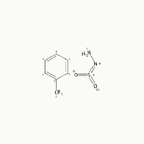 FC(F)(F)c1ccccc1.NN=S(=O)=O